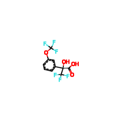 O=C(O)C(O)(c1cccc(OC(F)(F)F)c1)C(F)(F)F